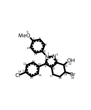 COc1ccc(-n2nc3c(c2-c2ccc(Cl)cc2)CCC(Br)C3O)cc1